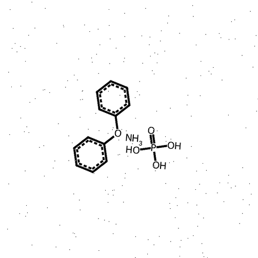 N.O=P(O)(O)O.c1ccc(Oc2ccccc2)cc1